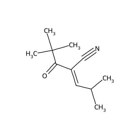 CC(C)/C=C(\C#N)C(=O)C(C)(C)C